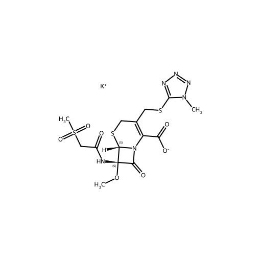 CO[C@@]1(NC(=O)CS(C)(=O)=O)C(=O)N2C(C(=O)[O-])=C(CSc3nnnn3C)CS[C@H]21.[K+]